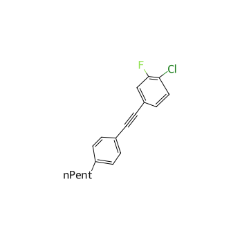 CCCCCc1ccc(C#Cc2ccc(Cl)c(F)c2)cc1